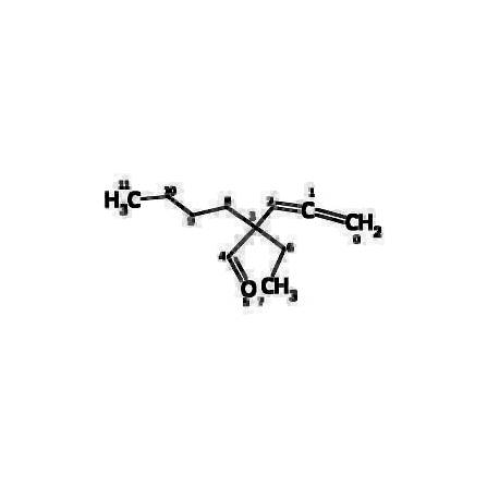 C=C=CC(C=O)(CC)CCCC